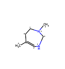 CC1=CNCN(C)CC1